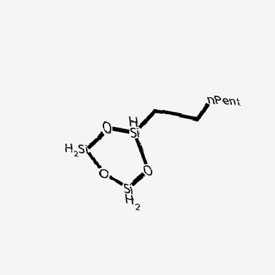 CCCCCCC[SiH]1O[SiH2]O[SiH2]O1